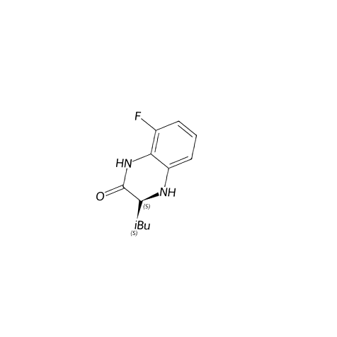 CC[C@H](C)[C@@H]1Nc2cccc(F)c2NC1=O